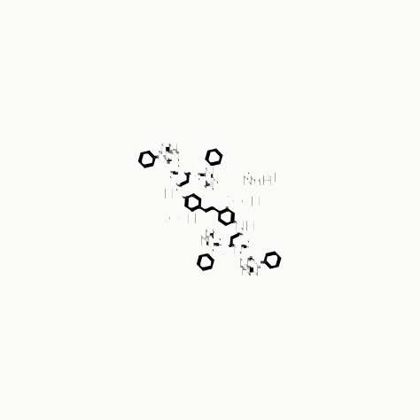 O=S(=O)(O)c1cc(Nc2cc(Sc3nnnn3-c3ccccc3)nc(Sc3nnnn3-c3ccccc3)n2)ccc1C=Cc1ccc(Nc2cc(Sc3nnnn3-c3ccccc3)nc(Sc3nnnn3-c3ccccc3)n2)cc1S(=O)(=O)O.[NaH].[NaH]